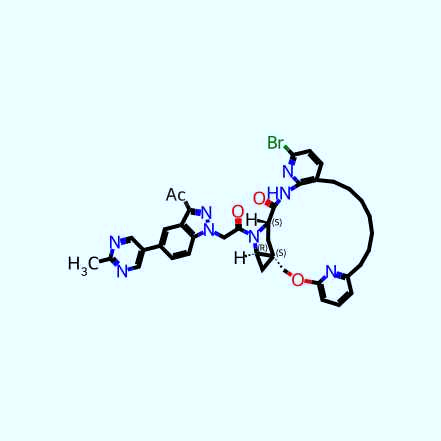 CC(=O)c1nn(CC(=O)N2[C@H]3C[C@@]4(COc5cccc(n5)CCCCCCCc5ccc(Br)nc5NC3=O)C[C@@H]24)c2ccc(-c3cnc(C)nc3)cc12